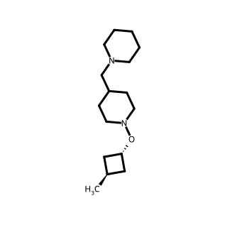 C[C@H]1C[C@H](ON2CCC(CN3CCCCC3)CC2)C1